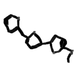 CSc1ccc(-c2ccc(-c3cccs3)s2)s1